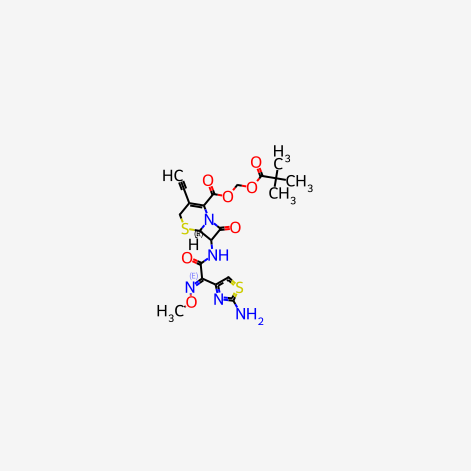 C#CC1=C(C(=O)OCOC(=O)C(C)(C)C)N2C(=O)C(NC(=O)/C(=N/OC)c3csc(N)n3)[C@H]2SC1